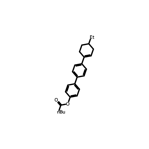 CCCCC(=O)Oc1ccc(-c2ccc(C3=CCC(CC)CC3)cc2)cc1